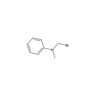 CN(CBr)c1ccccc1